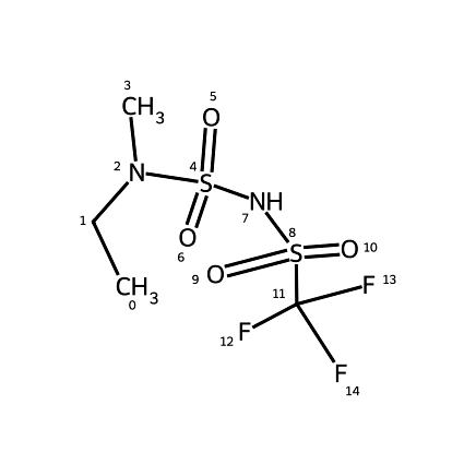 CCN(C)S(=O)(=O)NS(=O)(=O)C(F)(F)F